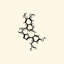 COc1ccc(-c2ccc(C(C)Nc3nc(C)nc4cc(OC)c(OC)cc34)s2)c(CN(C)C)c1